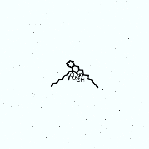 CCCCCCCCC1=Cc2ccccc2C(CCCCCCCC)(OCC)C1S(=O)(=O)O